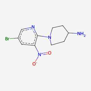 NC1CCN(c2ncc(Br)cc2[N+](=O)[O-])CC1